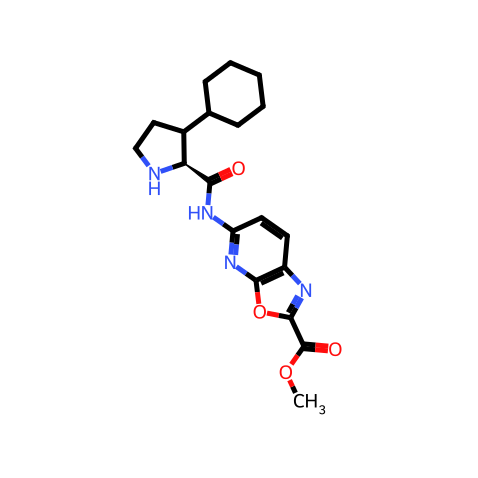 COC(=O)c1nc2ccc(NC(=O)[C@H]3NCCC3C3CCCCC3)nc2o1